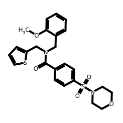 COc1ccccc1CN(Cc1cccs1)C(=O)c1ccc(S(=O)(=O)N2CCOCC2)cc1